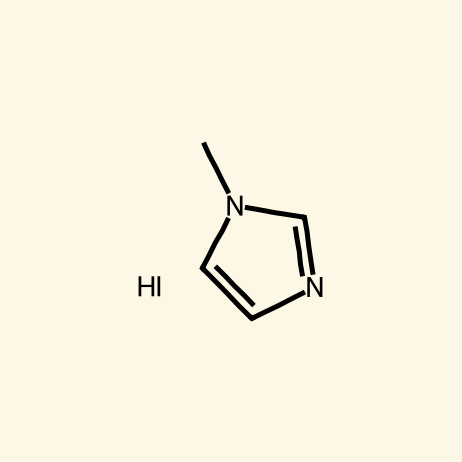 Cn1ccnc1.I